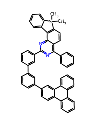 C[Si]1(C)c2ccccc2-c2c1ccc1c(-c3ccccc3)nc(-c3cccc(-c4cccc(-c5ccc6c7ccccc7c7ccccc7c6c5)c4)c3)nc21